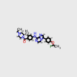 C=CN1CCN(C(=O)c2ccc(Nc3nccn4c(-c5ccc(OC(C)F)cc5)cnc34)cc2C)CC1